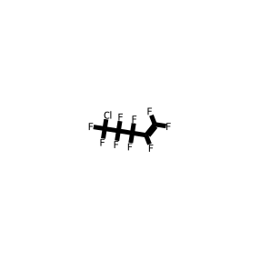 FC(F)=C(F)C(F)(F)C(F)(F)C(F)(F)Cl